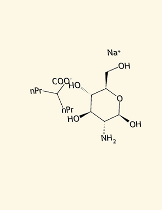 CCCC(CCC)C(=O)[O-].N[C@@H]1[C@@H](O)[C@H](O)[C@@H](CO)O[C@H]1O.[Na+]